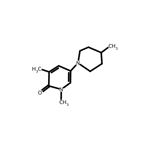 Cc1cc(N2CCC(C)CC2)cn(C)c1=O